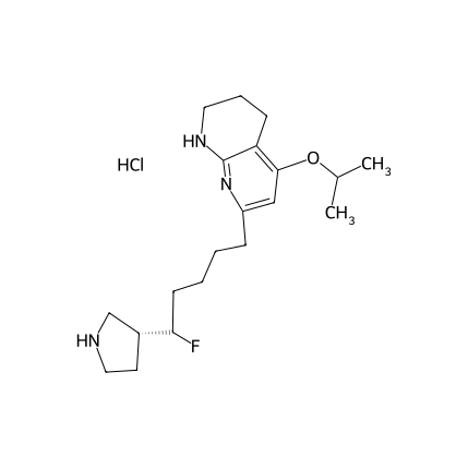 CC(C)Oc1cc(CCCCC(F)[C@@H]2CCNC2)nc2c1CCCN2.Cl